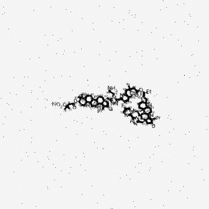 CC[C@H](CC[C@@]1(C)[C@H](C)CC[C@]2(C)[C@@H]1CC[C@@H]1C3=C(C(C)C)C(=O)C[C@]3(Cc3nnc(-c4ncc(F)cn4)n3CCN)CC[C@]12C)OC(=O)CC(C)(Cc1nc(-c2nnc(C[C@@]34CC[C@]5(C)[C@H](CC[C@@H]6[C@@]7(C)CC[C@H](OC(=O)CC(C)(C)C(=O)O)C(C)(C)[C@@H]7CC[C@]65C)C3=C(C(C)C)C(=O)C4)n2CCN)ccc1F)C(=O)O